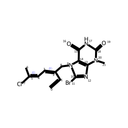 C=C/C(=C\C=C(/C)Cl)Cn1c(Br)nc2c1c(=O)[nH]c(=O)n2C